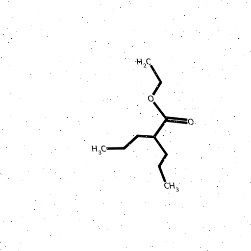 [CH2]COC(=O)C(CCC)CCC